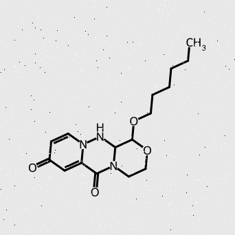 CCCCCCOC1OCCN2C(=O)c3cc(=O)ccn3NC12